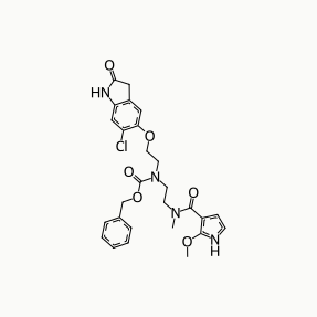 COc1[nH]ccc1C(=O)N(C)CCN(CCOc1cc2c(cc1Cl)NC(=O)C2)C(=O)OCc1ccccc1